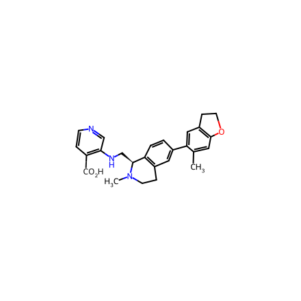 Cc1cc2c(cc1-c1ccc3c(c1)CCN(C)[C@H]3CNc1cnccc1C(=O)O)CCO2